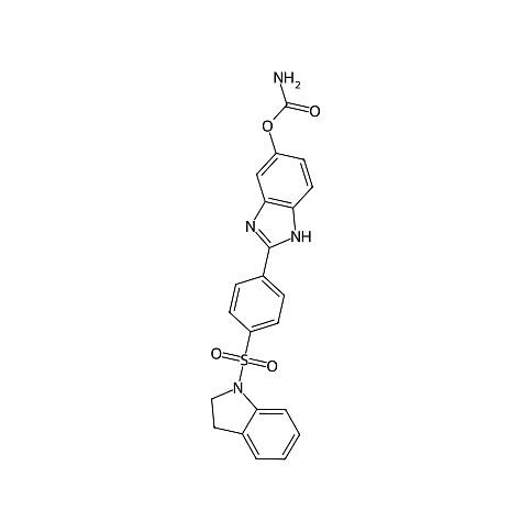 NC(=O)Oc1ccc2[nH]c(-c3ccc(S(=O)(=O)N4CCc5ccccc54)cc3)nc2c1